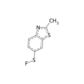 Cc1nc2ccc(SF)cc2s1